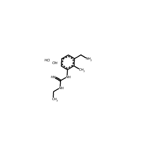 CCNC(=N)Nc1cccc(CN)c1C.Cl.Cl